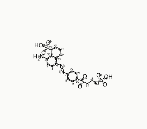 Nc1ccc(/N=N/c2ccc(S(=O)(=O)CCOS(=O)(=O)O)cc2)c2cccc(S(=O)(=O)O)c12